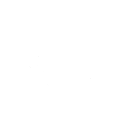 COCCCc1ccc(Nc2nccc(N(C)c3ccc(NC(=O)Nc4ccc(OC(F)(F)F)cc4)cc3)n2)cc1C(N)=O